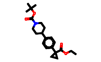 CCOC(=O)C1(c2ccc(C3CCN(C(=O)OC(C)(C)C)CC3)cc2)CC1